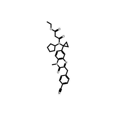 CCOC(=O)CC(=O)N(C1CCCC1)C1(c2ccc3c(c2)nc(Cc2ccc(C#N)cc2)c(=O)n3C)CC1